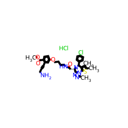 COC(=O)c1ccc(OCCCCNC(=O)C[C@@H]2N=C(c3ccc(Cl)cc3)c3c(sc(C)c3C)-n3c(C)nnc32)cc1C#CCN.Cl